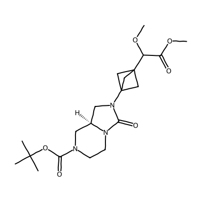 COC(=O)C(OC)C12CC(N3C[C@@H]4CN(C(=O)OC(C)(C)C)CCN4C3=O)(C1)C2